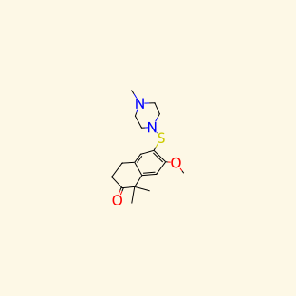 COc1cc2c(cc1SN1CCN(C)CC1)CCC(=O)C2(C)C